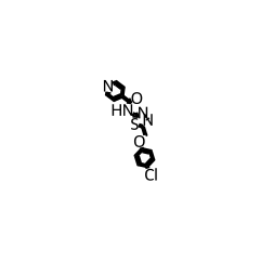 O=C(Nc1nnc(COc2ccc(Cl)cc2)s1)c1ccncc1